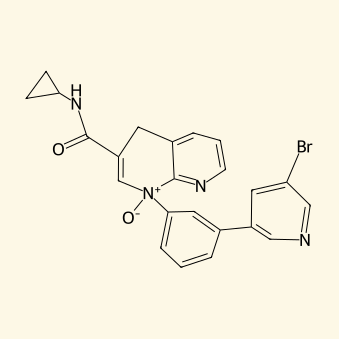 O=C(NC1CC1)C1=C[N+]([O-])(c2cccc(-c3cncc(Br)c3)c2)c2ncccc2C1